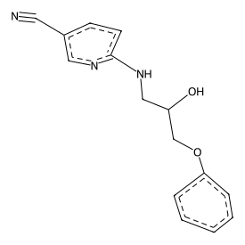 N#Cc1ccc(NCC(O)COc2ccccc2)nc1